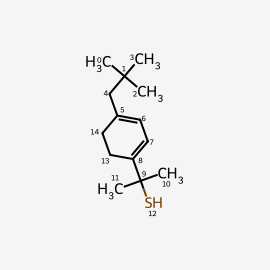 CC(C)(C)CC1=CC=C(C(C)(C)S)CC1